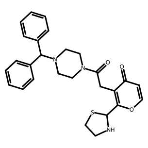 O=C(Cc1c(C2NCCS2)occc1=O)N1CCN(C(c2ccccc2)c2ccccc2)CC1